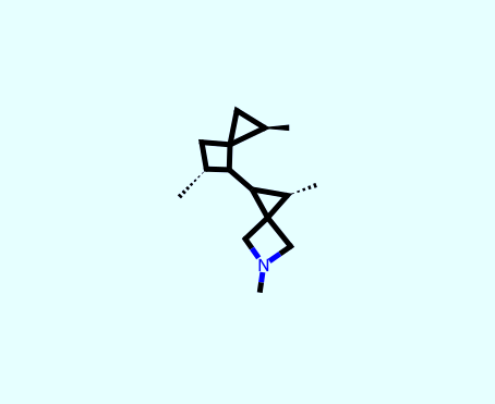 C[C@@H]1CC2(C[C@H]2C)C1C1[C@H](C)C12CN(C)C2